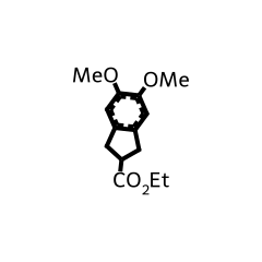 CCOC(=O)C1Cc2cc(OC)c(OC)cc2C1